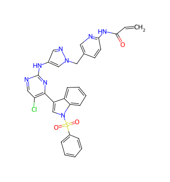 C=CC(=O)Nc1ccc(Cn2cc(Nc3ncc(Cl)c(-c4cn(S(=O)(=O)c5ccccc5)c5ccccc45)n3)cn2)cn1